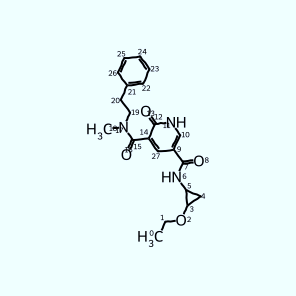 CCOC1CC1NC(=O)c1c[nH]c(=O)c(C(=O)N(C)CCc2ccccc2)c1